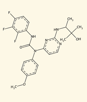 COc1ccc(N(C(=O)Nc2ccc(F)c(F)c2F)c2ccnc(NC(C)C(C)(C)O)n2)cc1